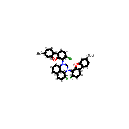 CC(C)(C)c1ccc2c(c1)oc1c(N3CN(c4c(Br)ccc5c4oc4cc(C(C)(C)C)ccc45)c4cccc5cccc3c45)c(Br)ccc12